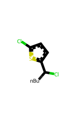 CCCCC(Cl)c1ccc(Cl)s1